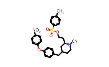 Cc1ccc(S(=O)(=O)OCCC2CC(Cc3ccc(Oc4ccc([N+](=O)[O-])cc4)cc3)CCN2C#N)cc1